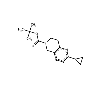 CC(C)(C)OC(=O)N1CCc2nc(C3CC3)nnc2C1